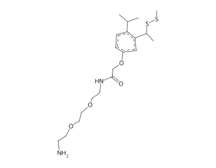 CSSC(C)c1cc(OCC(=O)NCCOCCOCCN)ccc1C(C)C